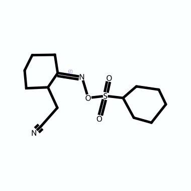 N#CCC1CCCC/C1=N/OS(=O)(=O)C1CCCCC1